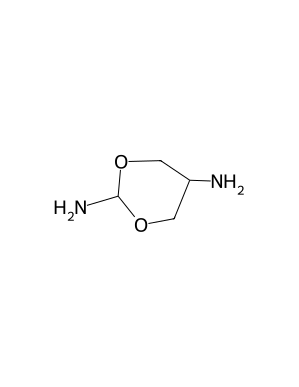 NC1COC(N)OC1